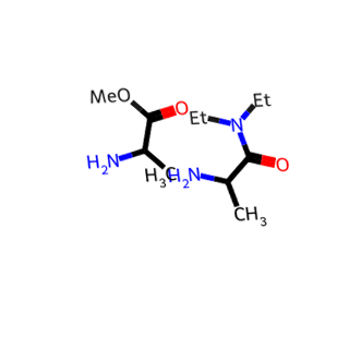 CCN(CC)C(=O)C(C)N.COC(=O)C(C)N